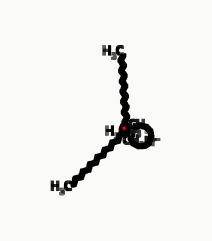 CCCCCCCCCCCCCCCC(C)(C)[N+]1(C(C)(C)CCCCCCCCCCCCCCC)CCCCCCCCCC1.[Br-]